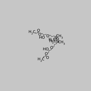 C=CC(=O)OCC(O)COCCC[Si](C)(C)O[Si](C)(C)CCCOCC(O)COC(=O)C=C